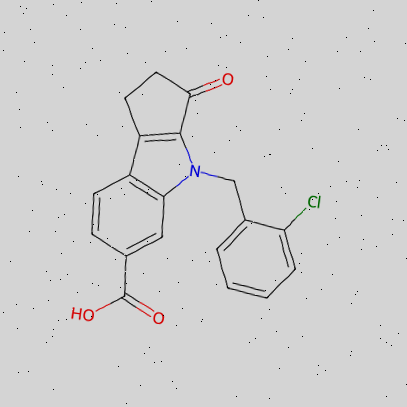 O=C(O)c1ccc2c3c(n(Cc4ccccc4Cl)c2c1)C(=O)CC3